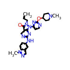 C=CCn1c(=O)c2cnc(Nc3ccc4c(cnn4C)c3)nc2n1-c1ccnc(OC2CCN(C)CC2)n1